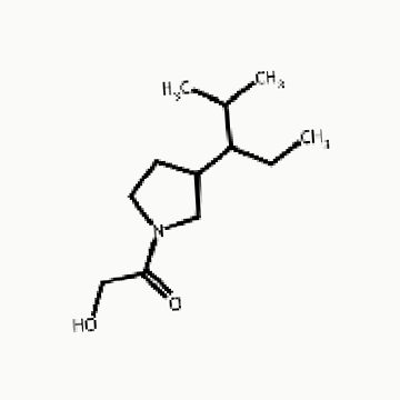 CCC(C(C)C)C1CCN(C(=O)CO)C1